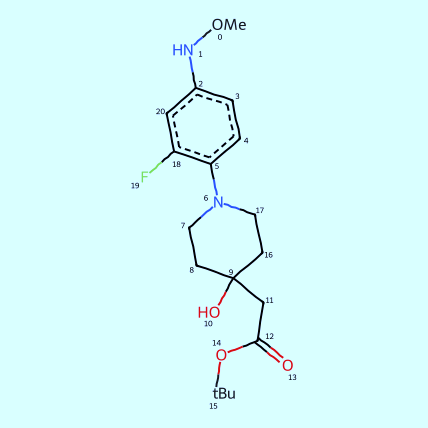 CONc1ccc(N2CCC(O)(CC(=O)OC(C)(C)C)CC2)c(F)c1